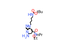 CCCN(OCC)C(=O)C1=Cc2c(cnn2CCCCCNC(=O)OC(C)(C)C)N=C(N)C1